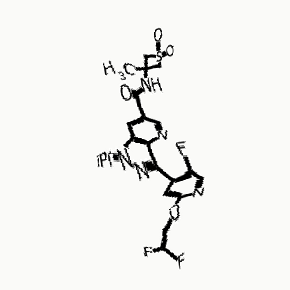 CC(C)n1nc(-c2cc(OCC(F)F)ncc2F)c2ncc(C(=O)NC3(C)CS(=O)(=O)C3)cc21